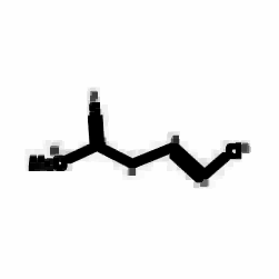 COC(=S)CC=CCl